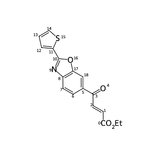 CCOC(=O)C=CC(=O)c1ccc2nc(-c3cccs3)oc2c1